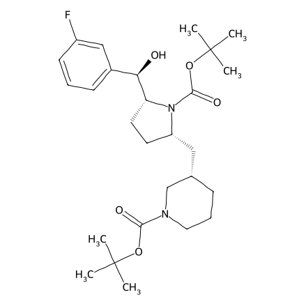 CC(C)(C)OC(=O)N1CCC[C@@H](C[C@@H]2CC[C@H]([C@H](O)c3cccc(F)c3)N2C(=O)OC(C)(C)C)C1